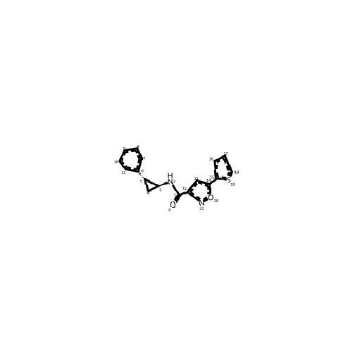 O=C(N[C@H]1C[C@@H]1c1ccccc1)c1cc(-c2cccs2)on1